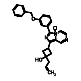 C=CCC1(O)CC(C2=C3C=NC=C[N+]3(Cl)C(c3cccc(OCc4ccccc4)c3)=N2)C1